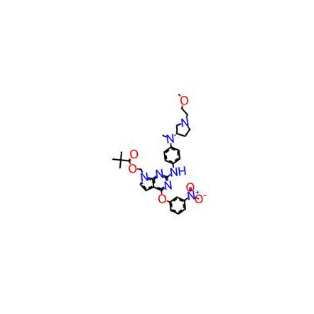 COCCN1CC[C@H](N(C)c2ccc(Nc3nc(Oc4cccc([N+](=O)[O-])c4)c4ccn(COC(=O)C(C)(C)C)c4n3)cc2)C1